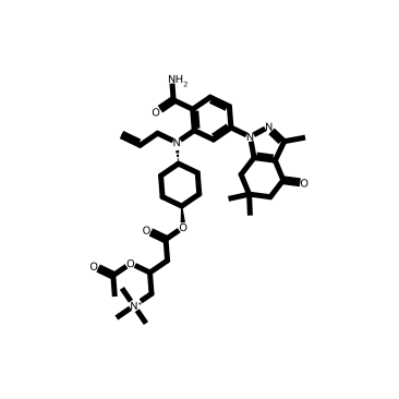 C=CCN(c1cc(-n2nc(C)c3c2CC(C)(C)CC3=O)ccc1C(N)=O)[C@H]1CC[C@H](OC(=O)CC(C[N+](C)(C)C)OC(C)=O)CC1